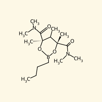 CCCCB1O[C@@](C)(C(=O)N(C)C)C(C)[C@](C)(C(=O)N(C)C)O1